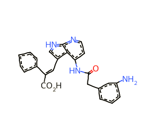 Nc1cccc(CC(=O)Nc2ccnc3[nH]cc(/C=C(/C(=O)O)c4ccccc4)c23)c1